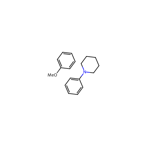 COc1ccccc1.c1ccc(N2CCCCC2)cc1